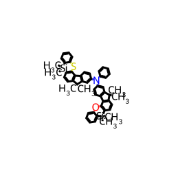 CC1(C)c2cc(N(c3ccccc3)c3ccc4c(c3)C(C)(C)c3ccc5c(c3-4)Sc3ccccc3[Si]5(C)C)ccc2-c2c1ccc1c2Oc2ccccc2[Si]1(C)C